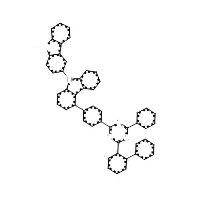 c1ccc(-c2nc(-c3ccc(-c4cccc5c4c4ccccc4n5-c4ccc5sc6ccccc6c5c4)cc3)nc(-c3ccccc3-c3ccccc3)n2)cc1